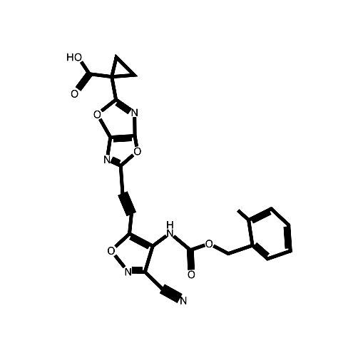 Cc1ccccc1COC(=O)Nc1c(C#N)noc1C#Cc1nc2oc(C3(C(=O)O)CC3)nc2o1